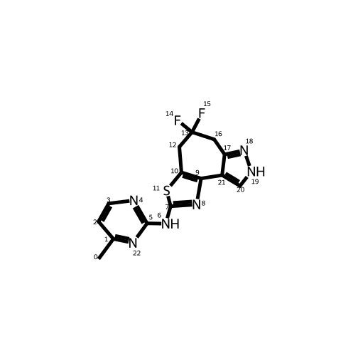 Cc1ccnc(Nc2nc3c(s2)CC(F)(F)Cc2n[nH]cc2-3)n1